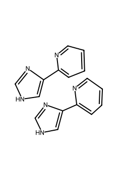 c1ccc(-c2c[nH]cn2)nc1.c1ccc(-c2c[nH]cn2)nc1